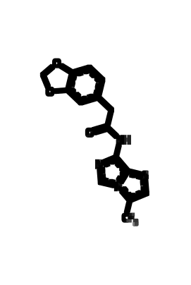 O=C(Cc1ccc2c(c1)OCO2)Nc1ncn2c(C(F)(F)F)csc12